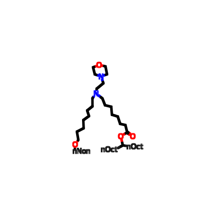 CCCCCCCCCOCCCCCCCCN(CCCCCCCC(=O)OC(CCCCCCCC)CCCCCCCC)CCN1CCOCC1